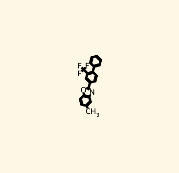 Cc1ccc2oc(-c3ccc(-c4ccccc4)c(C(F)(F)F)c3)nc2c1